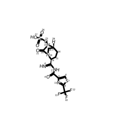 N=C(NC(=O)c1csc(C(F)(F)F)n1)[C@@H]1CC[C@@H]2CN1C(=O)N2OS(=O)(=O)O